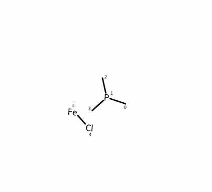 CP(C)C.[Cl][Fe]